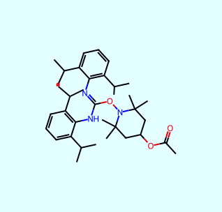 CC(=O)OC1CC(C)(C)N(OC(=Nc2c(C(C)C)cccc2C(C)C)Nc2c(C(C)C)cccc2C(C)C)C(C)(C)C1